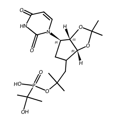 CC(C)(CC1C[C@@H](n2ccc(=O)[nH]c2=O)[C@@H]2OC(C)(C)O[C@H]12)OP(=O)(O)C(C)(C)O